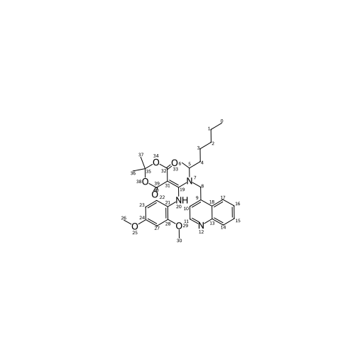 CCCCCC(C)N(Cc1ccnc2ccccc12)C(Nc1ccc(OC)cc1OC)=C1C(=O)OC(C)(C)OC1=O